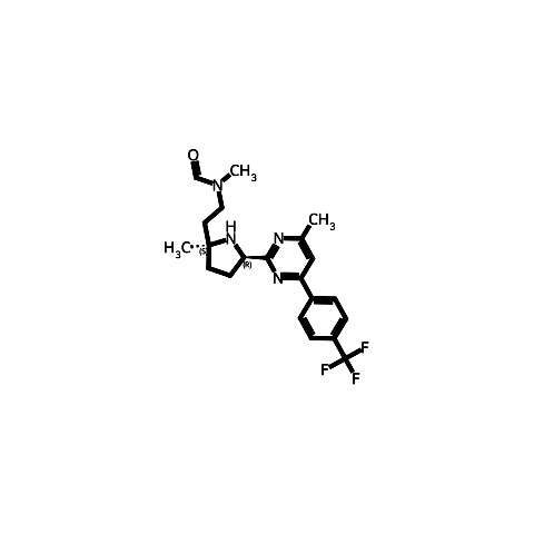 Cc1cc(-c2ccc(C(F)(F)F)cc2)nc([C@H]2CC[C@@](C)(CCN(C)C=O)N2)n1